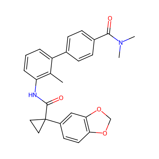 Cc1c(NC(=O)C2(c3ccc4c(c3)OCO4)CC2)cccc1-c1ccc(C(=O)N(C)C)cc1